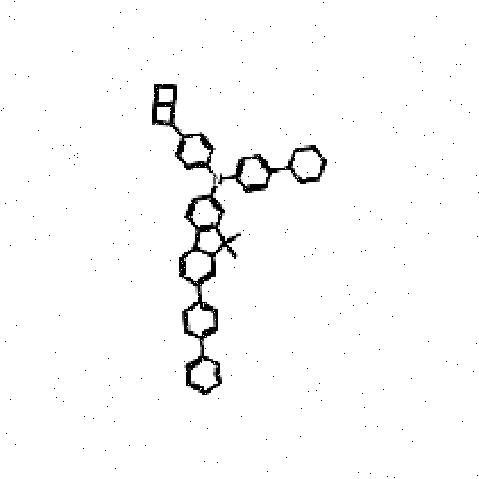 CC1(C)c2cc(N(c3ccc(C4CCCCC4)cc3)c3ccc(C4CC5CCC54)cc3)ccc2C2C=CC(c3ccc(-c4ccccc4)cc3)=CC21